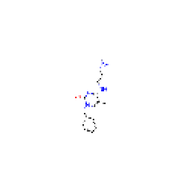 Cc1cn(Cc2ccccc2)c(=O)nc1NCCCN(C)C